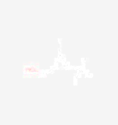 CC1C(CO)C1[Si](C)(C)C